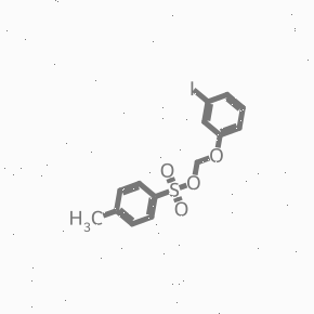 Cc1ccc(S(=O)(=O)OCOc2cccc(I)c2)cc1